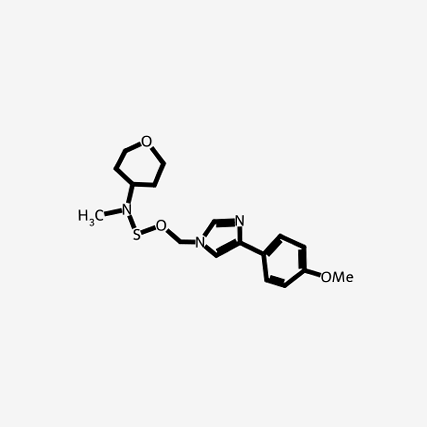 COc1ccc(-c2cn(COSN(C)C3CCOCC3)cn2)cc1